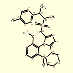 COc1cccc(OC)c1-n1c(NS(=O)(=O)C(C)C(C)c2ncc(Cl)cn2)nnc1[C@H]1COCCO1